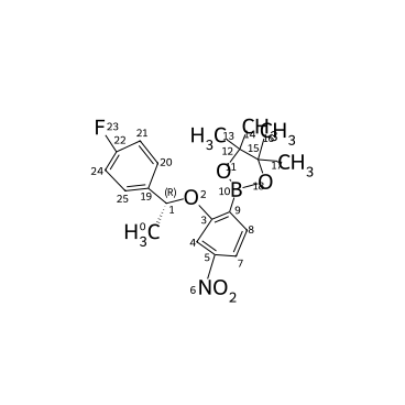 C[C@@H](Oc1cc([N+](=O)[O-])ccc1B1OC(C)(C)C(C)(C)O1)c1ccc(F)cc1